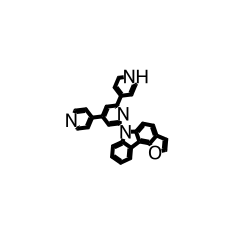 C1=CC(c2cc(-c3ccncc3)cc(-n3c4ccccc4c4c5occc5ccc43)n2)=CCN1